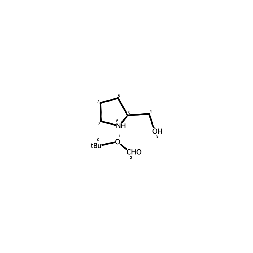 CC(C)(C)OC=O.OCC1CCCN1